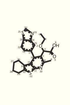 CCOC(C(=O)O)c1c(C)nc2sc3c(c2c1-c1ccc2scnc2c1)CCCC3